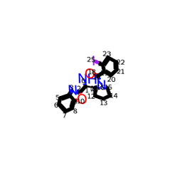 NC(c1nc2ccccc2o1)[C@@H]1CCCCN1C(=O)c1ccccc1I